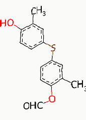 Cc1cc(Sc2ccc(OC=O)c(C)c2)ccc1O